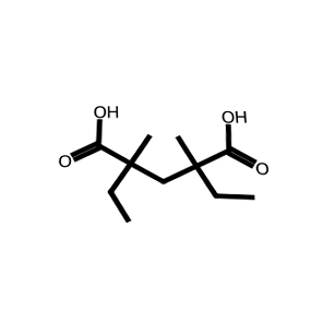 CCC(C)(CC(C)(CC)C(=O)O)C(=O)O